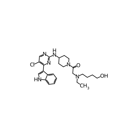 CCN(CCCCO)CC(=O)N1CCC(Nc2ncc(Cl)c(-c3c[nH]c4ccccc34)n2)CC1